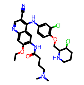 CCOc1cc2ncc(C#N)c(Nc3ccc(OCC4NCCCC4Cl)c(Cl)c3)c2cc1NC(=O)CCCN(C)C